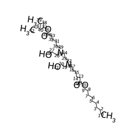 CCCCCCCCCCOC(=O)CCCCCN(CCO)CCCN(CCO)CCCCCC(=O)OC(CC)CCC